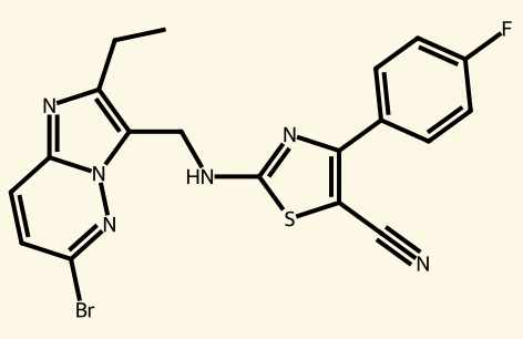 CCc1nc2ccc(Br)nn2c1CNc1nc(-c2ccc(F)cc2)c(C#N)s1